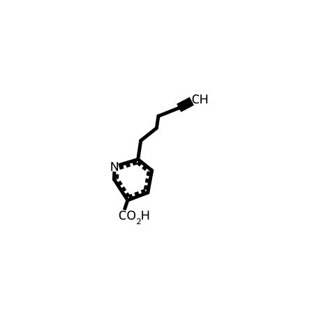 C#CCCCc1ccc(C(=O)O)cn1